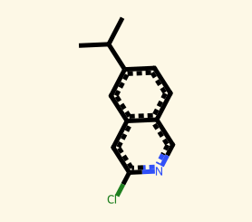 CC(C)c1ccc2cnc(Cl)cc2c1